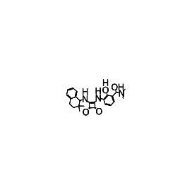 CN(C)C(O)c1cccc(Nc2c(NC3c4ccccc4CCC3(C)C)c(=O)c2=O)c1O